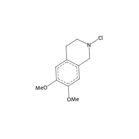 COc1cc2c(cc1OC)CN(Cl)CC2